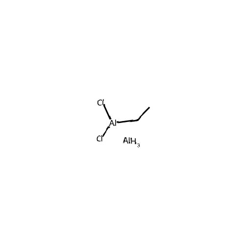 C[CH2][Al]([Cl])[Cl].[AlH3]